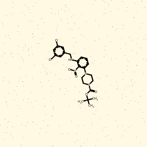 CC(C)(C)OC(=O)N1CCN(c2cccc(NCc3cc(Cl)cc(Cl)c3)c2[N+](=O)[O-])CC1